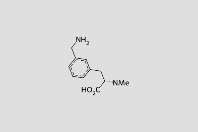 CN[C@@H](Cc1cccc(CN)c1)C(=O)O